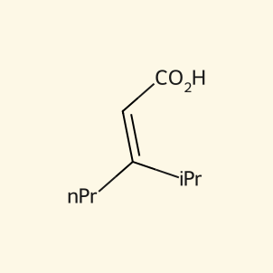 CCC/C(=C/C(=O)O)C(C)C